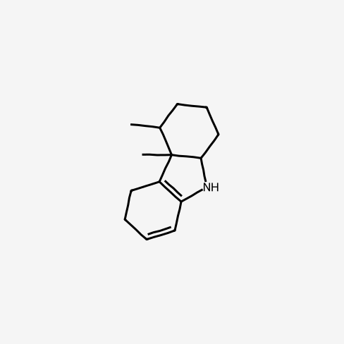 CC1CCCC2NC3=C(CCC=C3)C12C